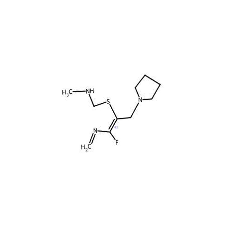 C=N/C(F)=C(/CN1CCCC1)SCNC